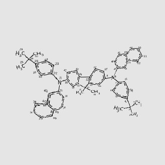 CC(C)(C)c1ccc(N(c2ccc3c(c2)C(C)(C)c2cc(N(c4ccc(C(C)(C)C)cc4)c4ccc5ccccc5c4)ccc2-3)c2ccc3ccccc3c2)cc1